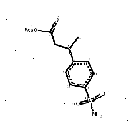 COC(=O)CC(C)c1ccc(S(N)(=O)=O)cc1